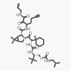 C#CCCC(NC(=O)[C@@H]1C2C(CN1C(=O)[C@@H](NC(=O)N[C@H](COC(=O)NCC(C)C)C(C)(C)C)C1(C)CCCCC1)C2(C)C)C(=O)C(=O)NCC=C